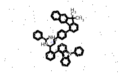 CC1(C)c2cc3ccccc3cc2-c2c(-c3ccc(/C=C/C(NC(N)c4ccccc4)c4ccccc4-c4cccc5c4c4ccccc4n5-c4ccccc4)cc3)cccc21